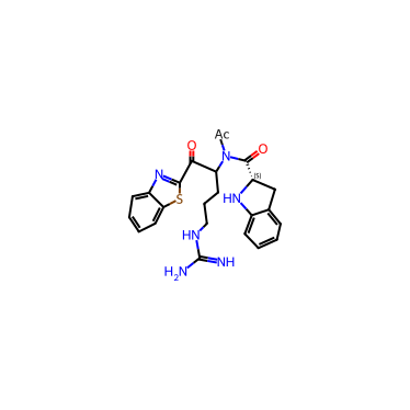 CC(=O)N(C(=O)[C@@H]1Cc2ccccc2N1)C(CCCNC(=N)N)C(=O)c1nc2ccccc2s1